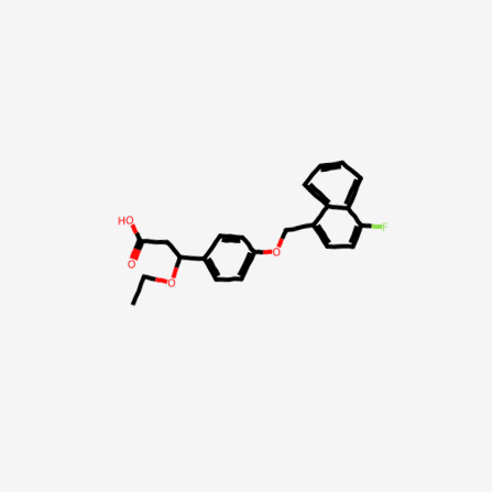 CCOC(CC(=O)O)c1ccc(OCc2ccc(F)c3ccccc23)cc1